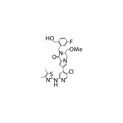 COCC1Cn2cc(-c3cc(Nc4nc(C)c(C)s4)ncc3Cl)cc2C(=O)N1Cc1cc(F)ccc1CO